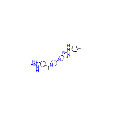 C=C(c1ccc2c(c1)NNN2)N1CC[C@H](N2Cc3cnc(Nc4ccc(C)cc4)nc3C2)C[C@H]1C